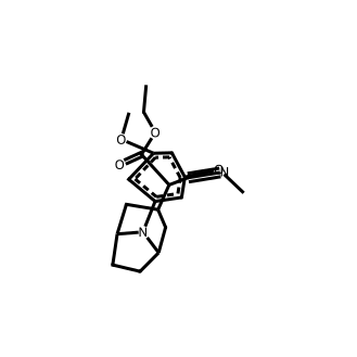 CCOC(=O)C(C#N)C1CC2CCC(C1)N2c1cc(OC)cc(OC)c1